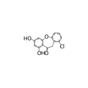 O=C1Cc2c(Cl)cccc2Oc2cc(O)cc(O)c21